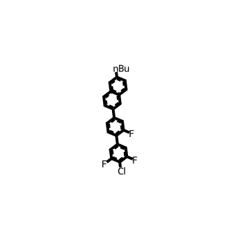 CCCCc1ccc2cc(-c3ccc(-c4cc(F)c(Cl)c(F)c4)c(F)c3)ccc2c1